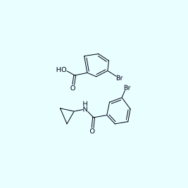 O=C(NC1CC1)c1cccc(Br)c1.O=C(O)c1cccc(Br)c1